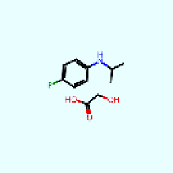 CC(C)Nc1ccc(F)cc1.O=C(O)CO